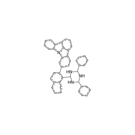 c1ccc(C2NC(c3ccccc3)NC(c3c(-c4ccc5c6cccc7c8ccccc8n(c5c4)c76)ccc4ccccc34)N2)cc1